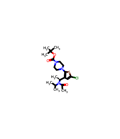 CC(=O)N(C(C)C)[C@@H](C)c1cc(Cl)sc1N1CCN(C(=O)OC(C)(C)C)CC1